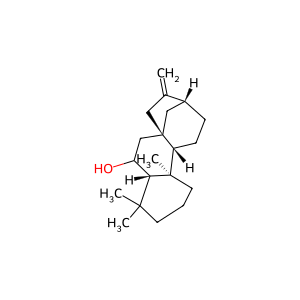 C=C1C[C@]23CC(O)[C@H]4C(C)(C)CCC[C@]4(C)[C@H]2CC[C@@H]1C3